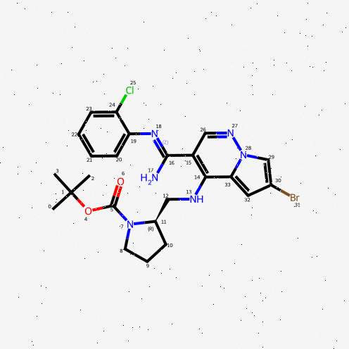 CC(C)(C)OC(=O)N1CCC[C@@H]1CNc1c(/C(N)=N/c2ccccc2Cl)cnn2cc(Br)cc12